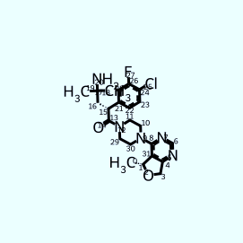 C[C@H]1OCc2ncnc(N3CCN(C(=O)[C@H](CC(C)(C)N)c4ccc(Cl)c(F)c4)CC3)c21